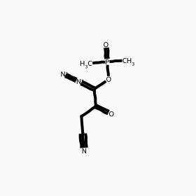 CP(C)(=O)OC(=[N+]=[N-])C(=O)CC#N